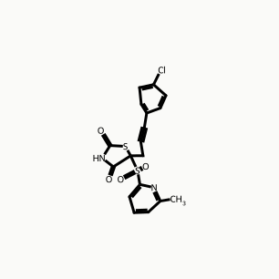 Cc1cccc(S(=O)(=O)C2(CC#Cc3ccc(Cl)cc3)SC(=O)NC2=O)n1